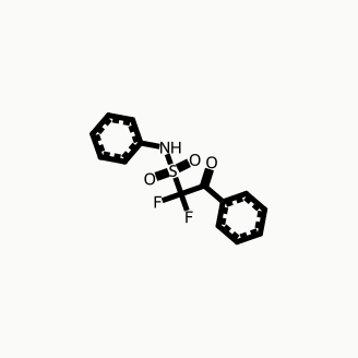 O=C(c1ccccc1)C(F)(F)S(=O)(=O)Nc1ccccc1